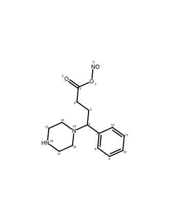 O=NOC(=O)CCC(c1ccccc1)N1CCNCC1